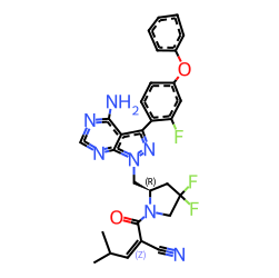 CC(C)/C=C(/C#N)C(=O)N1CC(F)(F)C[C@@H]1Cn1nc(-c2ccc(Oc3ccccc3)cc2F)c2c(N)ncnc21